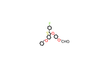 O=CCOc1ccc(Oc2c(-c3ccc(F)cc3)sc3cc(OCc4ccccc4)ccc23)cc1